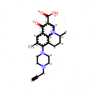 C#CCN1CCN(c2c(Cl)cc3c(=O)c(C(=O)O)cn4c3c2CCC4C)CC1